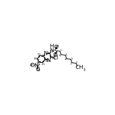 CCCCCCCCS(=O)(=O)Nc1nc2ccc([N+](=O)[O-])cc2nc1Cl